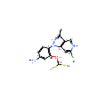 Cc1nn(-c2ccc(N)cc2OC(F)F)c2cc(Cl)ncc12